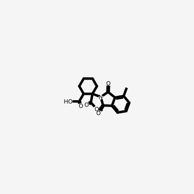 Cc1cccc2c1C(=O)N(C1(C(=O)O)CCCCC1C(=O)O)C2=O